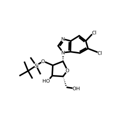 CC(C)(C)[Si](C)(C)OC1C(O)[C@@H](CO)O[C@H]1n1cnc2cc(Cl)c(Cl)cc21